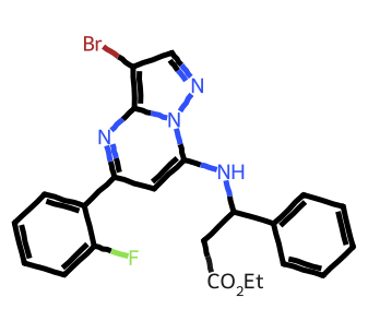 CCOC(=O)CC(Nc1cc(-c2ccccc2F)nc2c(Br)cnn12)c1ccccc1